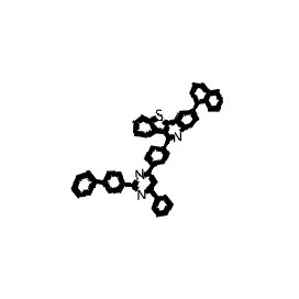 c1ccc(-c2ccc(-c3nc(-c4ccccc4)cc(-c4ccc(-c5nc6ccc(-c7cccc8ccccc78)cc6c6sc7ccccc7c56)cc4)n3)cc2)cc1